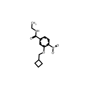 CCNC(=O)c1ccc([N+](=O)[O-])c(OCC2CCC2)c1